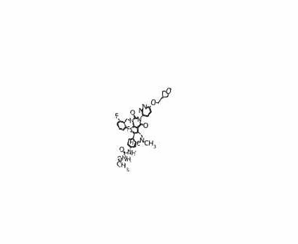 CONC(=O)Nc1ccc(-c2sc3c(c2CN(C)C)c(=O)n(-c2ccc(OCC4COC4)nn2)c(=O)n3Cc2c(F)cccc2F)cc1